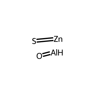 [O]=[AlH].[S]=[Zn]